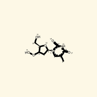 Cc1cn([C@H]2CC(OO)[C@@H](CO)O2)c(=O)[nH]c1=O